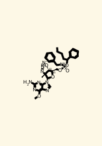 CCCCC(OP(=O)(NCc1ccccc1)OC[C@H]1O[C@@H](n2cnc3c(OC)nc(N)nc32)[C@](C)(N=[N+]=[N-])[C@@H]1O)c1ccccc1